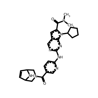 CN(C)C(=O)c1cc2cnc(Nc3ccc(C(=O)N4CC5C=CC(C4)N5)cn3)nc2n1C1CCCC1